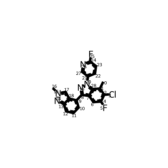 Cc1c(Cl)c(F)cc2c(-c3cccc4nn(C)cc34)nn(-c3ccc(F)nc3)c12